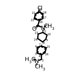 CN(C)Cc1ccc([C@H]2CC[C@H](N(C)C(=O)c3ccc(Cl)cc3)CC2)cc1